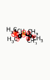 CCOP(=O)(OCC)Oc1cc(CS(=O)(=O)C=Cc2c(OC)cc(OC)cc2OC)ccc1OC